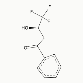 O=C(C[C@@H](O)C(F)(F)F)c1ccccc1